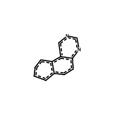 c1ccc2c(c1)ccc1ncncc12